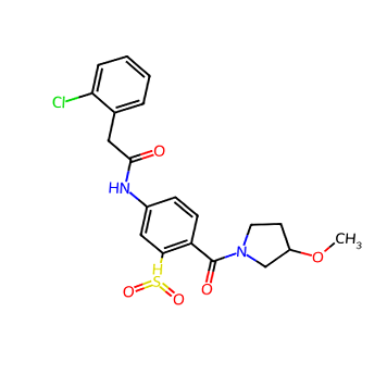 COC1CCN(C(=O)c2ccc(NC(=O)Cc3ccccc3Cl)cc2[SH](=O)=O)C1